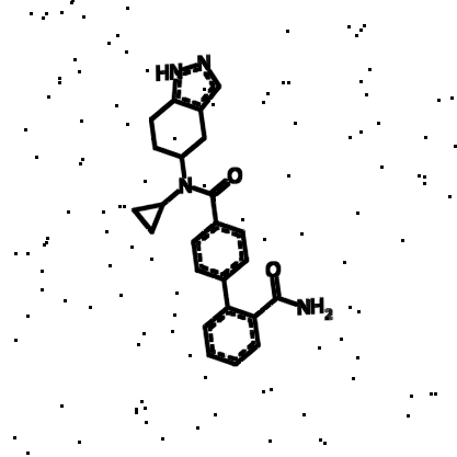 NC(=O)c1ccccc1-c1ccc(C(=O)N(C2CC2)C2CCc3[nH]ncc3C2)cc1